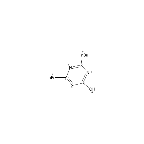 CCCCc1nc(O)cc(CCC)n1